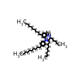 CCCCCCCCCCc1ccc(N=C(CCCCC)C(CCCCCCCC)=Nc2ccc(CCCCCCCCCC)cc2)cc1.[Ni]